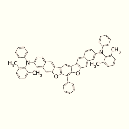 Cc1cccc(C)c1N(c1ccccc1)c1ccc2cc3c(cc2c1)oc1c(-c2ccccc2)c2oc4cc5cc(N(c6ccccc6)c6c(C)cccc6C)ccc5cc4c2cc13